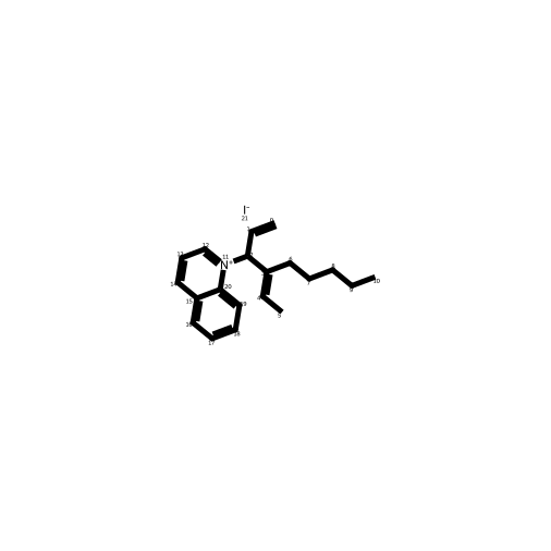 C=CC(C(=CC)CCCCC)[n+]1cccc2ccccc21.[I-]